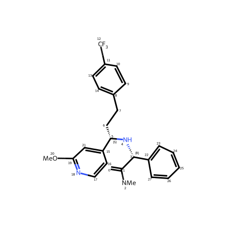 C=C(NC)[C@H](N[C@@H](CCc1ccc(C(F)(F)F)cc1)c1ccnc(OC)c1)c1ccccc1